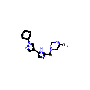 C[C@H]1CN(C(=O)c2ncc(-c3cnn(-c4ccccc4)c3)[nH]2)CCN1